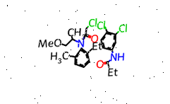 CCC(=O)Nc1ccc(Cl)c(Cl)c1.CCc1cccc(C)c1N(C(=O)CCl)C(C)COC